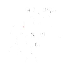 CC1(C)c2ccccc2-c2c1c1ncccc1c1c3ccccc3n(-c3nc(-c4ccccc4)c4c5ccccc5c5ccccc5c4n3)c21